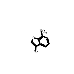 O=[N+]([O-])c1cccc2c(Br)csc12